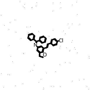 Clc1ccc(C=Cc2cc(N=C(c3ccccc3)c3ccccc3)cc3c2OCC3)cc1